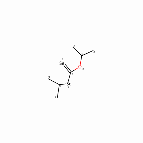 CC(C)OC(=[Se])[Se]C(C)C